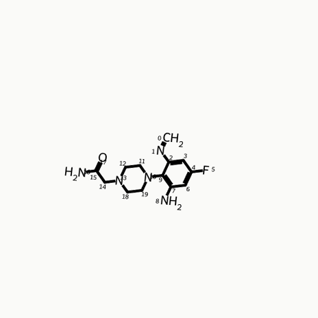 C=Nc1cc(F)cc(N)c1N1CCN(CC(N)=O)CC1